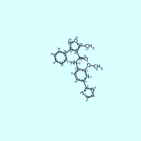 COc1nc(-c2nccs2)ccc1NC(=O)c1c(-c2ccccc2)noc1C